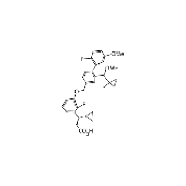 COc1ccc(F)c(-c2ccc(COc3cccc([C@H](CC(=O)O)C4CC4)c3F)cc2[C@@H](OC)C2(C)CC2)c1